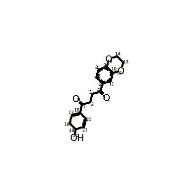 O=C(CCC(=O)c1ccc2c(c1)OCCO2)C1=CCC(O)C=C1